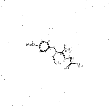 C=NN(Cc1ccc(OC)cc1)/C(=N/NC(=O)C(F)(F)F)NCC